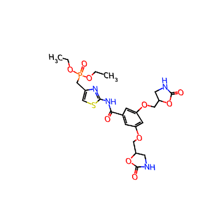 CCOP(=O)(Cc1csc(NC(=O)c2cc(OCC3CNC(=O)O3)cc(OCC3CNC(=O)O3)c2)n1)OCC